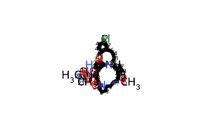 CO[C@H]1/C=C/CC2CCCN2C(=O)C[C@@](O)(C(=O)NS(=O)(=O)N(C)C)c2ccc3c(c2)N(CCCCc2cc(Cl)ccc2CO3)C[C@@H]2CC[C@H]21